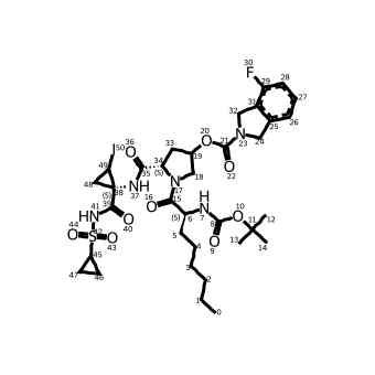 CCCCCC[C@H](NC(=O)OC(C)(C)C)C(=O)N1CC(OC(=O)N2Cc3cccc(F)c3C2)C[C@H]1C(=O)N[C@]1(C(=O)NS(=O)(=O)C2CC2)CC1I